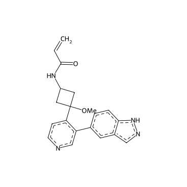 C=CC(=O)NC1CC(OC)(c2ccncc2-c2ccc3[nH]ncc3c2)C1